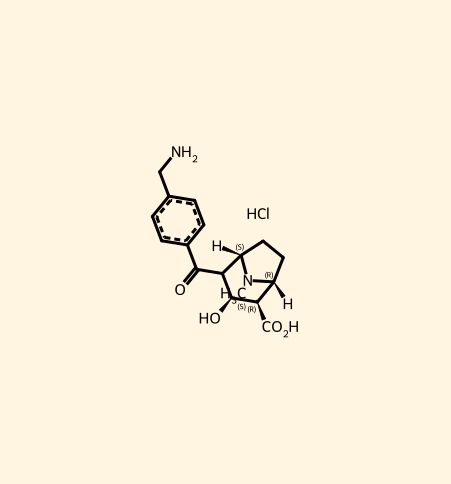 CN1[C@@H]2CC[C@H]1C(C(=O)c1ccc(CN)cc1)[C@H](O)[C@@H]2C(=O)O.Cl